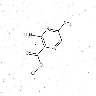 Nc1cnc(C(=O)OCl)c(N)n1